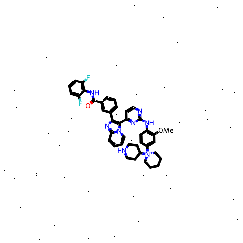 COc1cc([N+]2(C3CCNCC3)CCCCC2)ccc1Nc1nccc(-c2c(-c3cccc(C(=O)Nc4c(F)cccc4F)c3)nc3ccccn23)n1